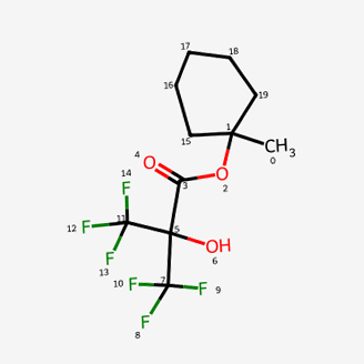 CC1(OC(=O)C(O)(C(F)(F)F)C(F)(F)F)CCCCC1